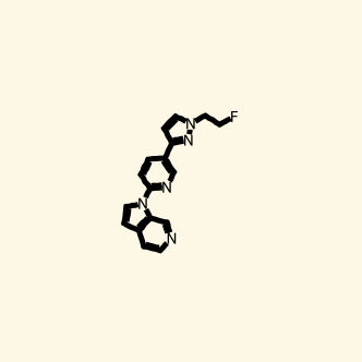 FCCn1ccc(-c2ccc(-n3ccc4ccncc43)nc2)n1